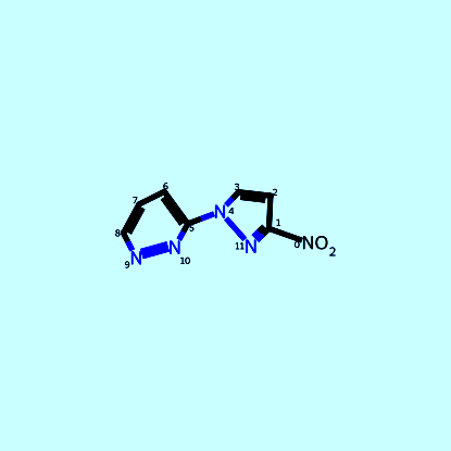 O=[N+]([O-])c1ccn(-c2cccnn2)n1